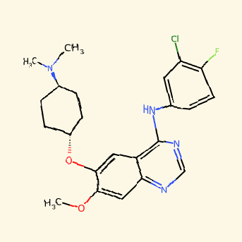 COc1cc2ncnc(Nc3ccc(F)c(Cl)c3)c2cc1O[C@H]1CC[C@H](N(C)C)CC1